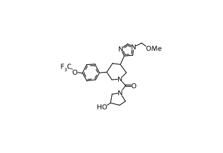 COCn1cnc(C2CC(c3ccc(OC(F)(F)F)cc3)CN(C(=O)N3CCC(O)C3)C2)c1